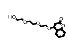 O=c1cc(OCCOCCOCCO)c2ccccc2o1